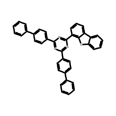 c1ccc(-c2ccc(-c3nc(-c4ccc(-c5ccccc5)cc4)nc(-c4cccc5c4oc4ccccc45)n3)cc2)cc1